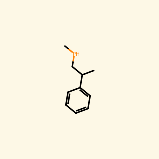 CPCC(C)c1ccccc1